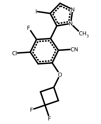 Cn1ncc(I)c1-c1c(F)c(Cl)cc(OC2CC(F)(F)C2)c1C#N